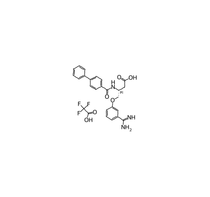 N=C(N)c1cccc(OC[C@@H](CC(=O)O)NC(=O)c2ccc(-c3ccccc3)cc2)c1.O=C(O)C(F)(F)F